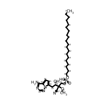 CCCCCCCCCCCCCCCCCCCCOP(=O)(O)OCC(C#N)(OC)[C@@H](O)Cc1ccc2c(N)ncnn12